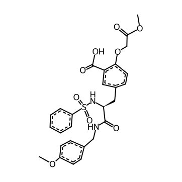 COC(=O)COc1ccc(C[C@H](NS(=O)(=O)c2ccccc2)C(=O)NCc2ccc(OC)cc2)cc1C(=O)O